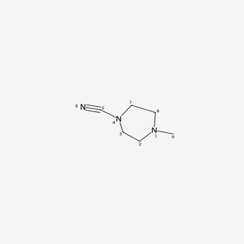 CN1CCN(C#N)CC1